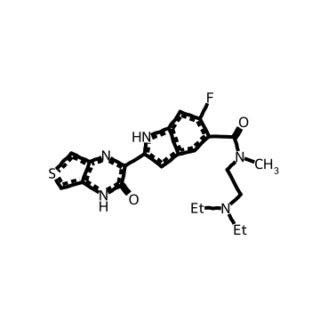 CCN(CC)CCN(C)C(=O)c1cc2cc(-c3nc4cscc4[nH]c3=O)[nH]c2cc1F